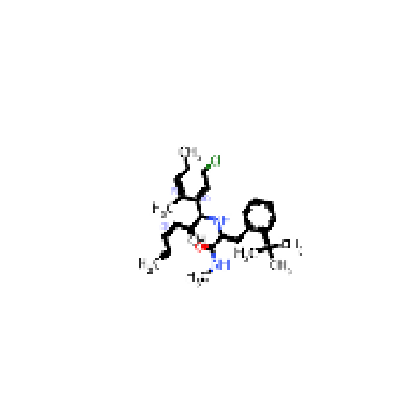 C=C/C=C\C(=C)C(NC(Cc1ccccc1C(C)(C)C)C(=O)NC)C(=C/CCl)/C(C)=C\CC